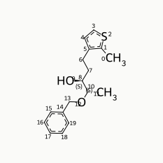 Cc1sccc1CC[C@H](O)[C@H](C)OCc1ccccc1